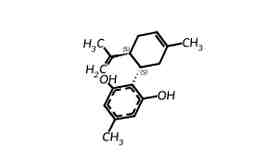 C=C(C)[C@H]1CC=C(C)C[C@@H]1c1c(O)cc(C)cc1O